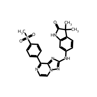 CC1(C)C(=O)Nc2cc(Nc3nc4c(-c5ccc(S(C)(=O)=O)cc5)nccn4n3)ccc21